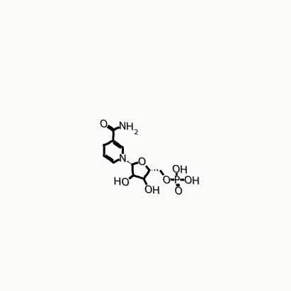 NC(=O)C1=CN([C@@H]2O[C@H](COP(=O)(O)O)C(O)C2O)C=CC1